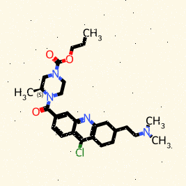 CCCOC(=O)N1CCN(C(=O)c2ccc3c(Cl)c4c(nc3c2)CC(CCN(C)C)CC4)[C@@H](C)C1